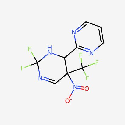 O=[N+]([O-])C1(C(F)(F)F)C=NC(F)(F)N[C]1c1ncccn1